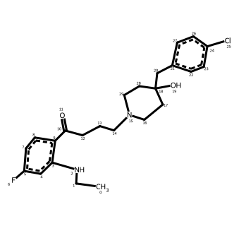 CCNc1cc(F)ccc1C(=O)CCCN1CCC(O)(Cc2ccc(Cl)cc2)CC1